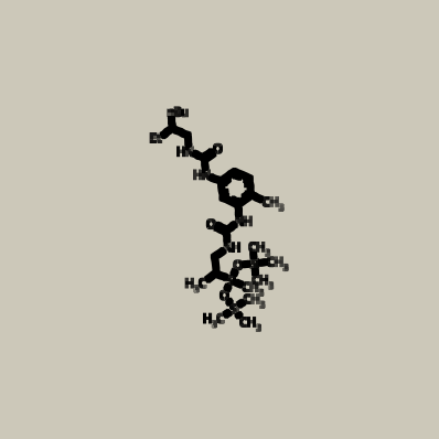 CCCCC(CC)CNC(=O)Nc1ccc(C)c(NC(=O)NCC(C)[Si](C)(O[Si](C)(C)C)O[Si](C)(C)C)c1